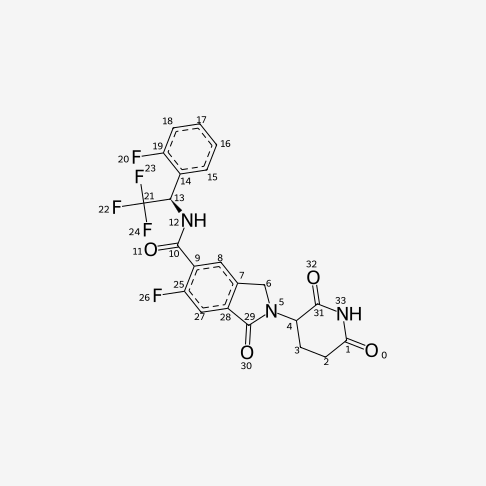 O=C1CCC(N2Cc3cc(C(=O)N[C@H](c4ccccc4F)C(F)(F)F)c(F)cc3C2=O)C(=O)N1